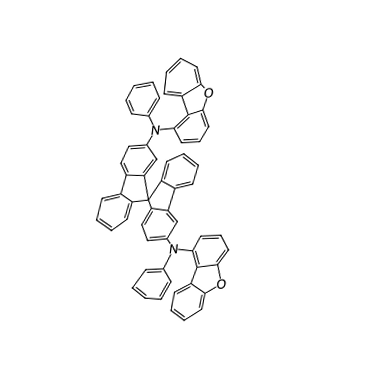 c1ccc(N(c2ccc3c(c2)-c2ccccc2C32c3ccccc3-c3ccc(N(c4ccccc4)c4cccc5oc6ccccc6c45)cc32)c2cccc3oc4ccccc4c23)cc1